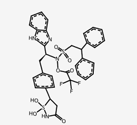 O=C1CC(c2ccc(C[C@@H](c3nc4ccccc4[nH]3)N(OC(=O)C(F)(F)F)S(=O)(=O)CC(c3ccccc3)c3ccccc3)cc2)S(O)(O)N1